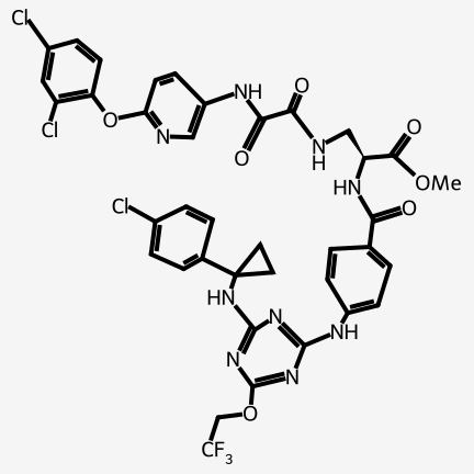 COC(=O)[C@H](CNC(=O)C(=O)Nc1ccc(Oc2ccc(Cl)cc2Cl)nc1)NC(=O)c1ccc(Nc2nc(NC3(c4ccc(Cl)cc4)CC3)nc(OCC(F)(F)F)n2)cc1